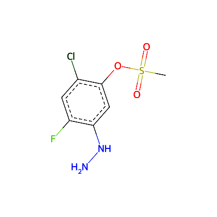 CS(=O)(=O)Oc1cc(NN)c(F)cc1Cl